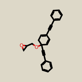 C(#Cc1ccccc1)C1=CCC(C#Cc2ccccc2)(OCC2CO2)C=C1